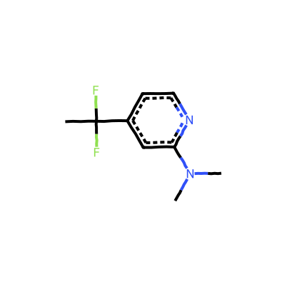 CN(C)c1cc(C(C)(F)F)ccn1